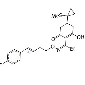 CCC(=NOCC/C=C/c1ccc(F)cc1)C1=C(O)CC(C2(SC)CC2)CC1=O